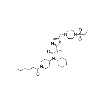 CCCCCC(=O)N1CCC(N(C(=O)Nc2ncc(CN3CCN(S(=O)(=O)CC)CC3)s2)C2CCCCC2)CC1